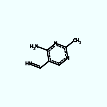 Cc1ncc(C=N)c(N)n1